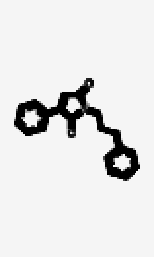 O=C1C=C(c2ccccc2)C(=O)N1CCCc1ccccc1